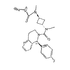 CN(C(=O)OC(C)(C)C)[C@H]1C[C@H](N(C)C(=O)N2CCc3ccccc3[C@@H]2c2ccc(F)cc2)C1